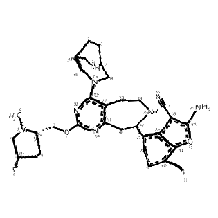 CN1C[C@H](F)C[C@H]1COc1nc2c(c(N3CC4CCC(C3)N4)n1)CCNC(c1ccc(F)c3oc(N)c(C#N)c13)C2